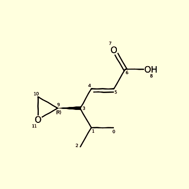 CC(C)C(C=CC(=O)O)[C@@H]1CO1